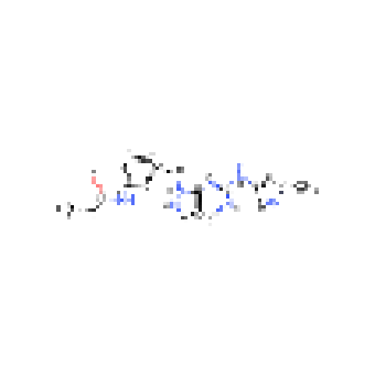 C=CC(=O)Nc1cccc(Cn2ncc3cnc(NC4=CC(C)N=C4)nc32)c1